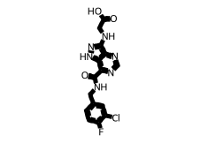 O=C(O)CNc1n[nH]c2c(C(=O)NCc3ccc(F)c(Cl)c3)ncnc12